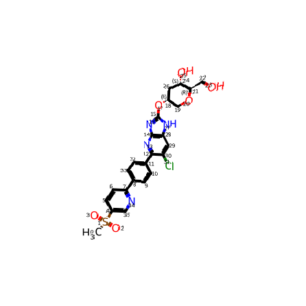 CS(=O)(=O)c1ccc(-c2ccc(-c3nc4nc(O[C@H]5CO[C@H](CO)[C@@H](O)C5)[nH]c4cc3Cl)cc2)nc1